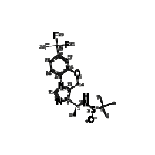 C[C@H](N[S+]([O-])C(C)(C)C)c1ncn2c1COc1cc(C(F)(F)F)ccc1-2